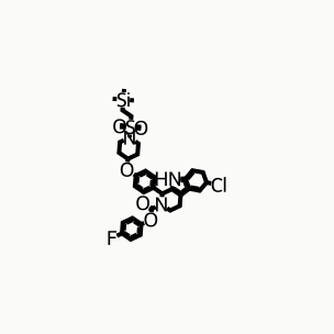 C[Si](C)(C)CCS(=O)(=O)N1CCC(Oc2ccc(C3c4[nH]c5c(c4CCN3C(=O)Oc3ccc(F)cc3)=CC(Cl)CC=5)cc2)CC1